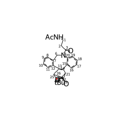 CC(=O)NCCC(=O)N1Cc2ccccc2C2=C(c3ccccc31)C1C=C(C(C)(C)C)C2C(=O)C1=O